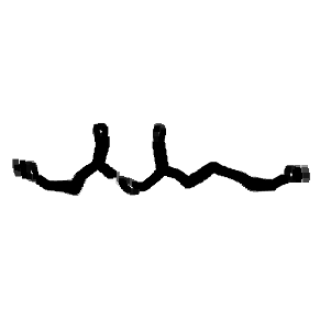 O=C(CO)OC(=O)CCCO